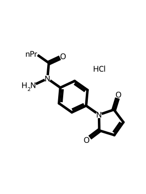 CCCC(=O)N(N)c1ccc(N2C(=O)C=CC2=O)cc1.Cl